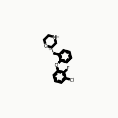 Fc1c(Cl)cccc1Oc1ccccc1C[C@H]1CNCCO1